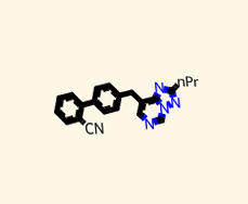 CCCc1nc2c(Cc3ccc(-c4ccccc4C#N)cc3)cncn2n1